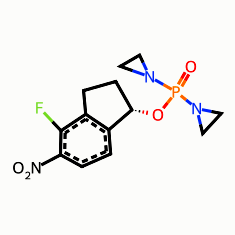 O=[N+]([O-])c1ccc2c(c1F)CC[C@@H]2OP(=O)(N1CC1)N1CC1